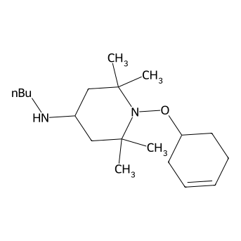 CCCCNC1CC(C)(C)N(OC2CC=CCC2)C(C)(C)C1